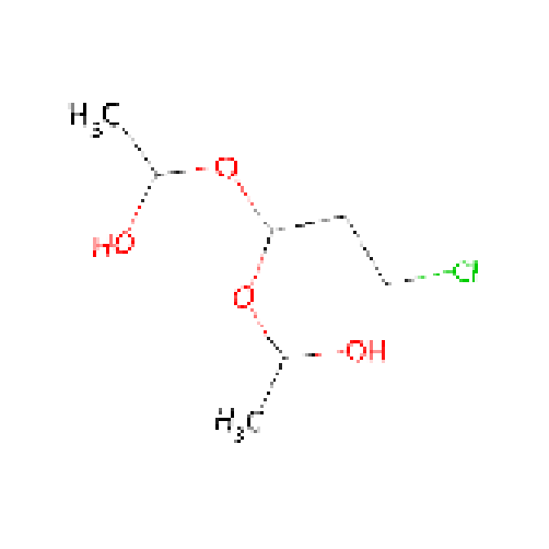 CC(O)OC(CCCl)OC(C)O